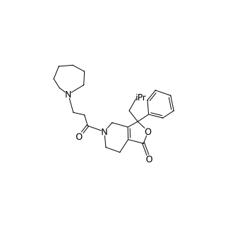 CC(C)CC1(c2ccccc2)OC(=O)C2=C1CN(C(=O)CCN1CCCCCC1)CC2